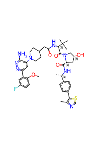 COc1ccc(F)cc1-c1cc(N2CCC(CC(=O)N[C@H](C(=O)N3C[C@H](O)C[C@H]3C(=O)N[C@@H](C)c3ccc(-c4scnc4C)cc3)C(C)(C)C)CC2)c(N)nn1